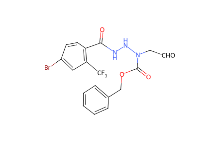 O=CCN(NNC(=O)c1ccc(Br)cc1C(F)(F)F)C(=O)OCc1ccccc1